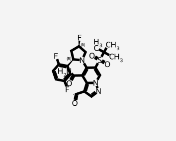 CC(C)(C)S(=O)(=O)c1cn2ncc([C]=O)c2c(C(N)=O)c1N1C[C@H](F)C[C@@H]1c1cc(F)ccc1F